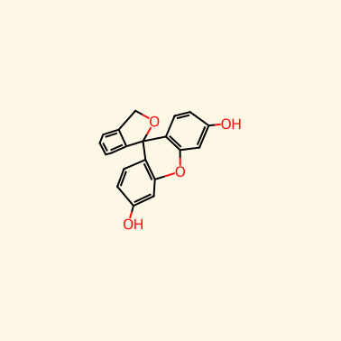 Oc1ccc2c(c1)Oc1cc(O)ccc1C21OCc2ccccc21